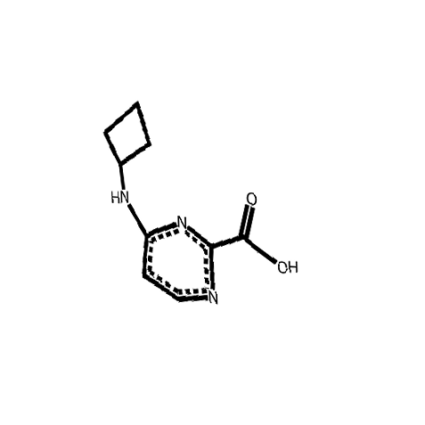 O=C(O)c1nccc(NC2CCC2)n1